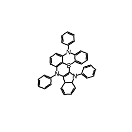 C1=CC2C3=C(B4c5ccccc5N(c5ccccc5)c5cccc(c54)N3c3ccccc3)N(c3ccccc3)C2C=C1